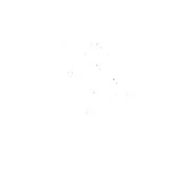 COc1cc(F)ccc1[C@@H](O)CN1c2nc(N3CCOCC3)cc(=O)n2CC[C@H]1C(F)(F)F